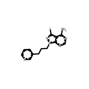 Nc1ncnc2c1c(I)nn2CCCc1cccnc1